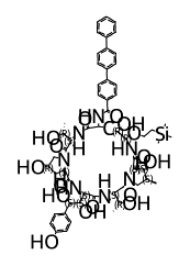 C[C@@H](O)[C@@H]1NC(=O)[C@H]([C@H](O)[C@@H](O)c2ccc(O)cc2)NC(=O)[C@@H]2C[C@@H](O)CN2C(=O)[C@H]([C@@H](C)O)NC(=O)C(NC(=O)c2ccc(-c3ccc(-c4ccccc4)cc3)cc2)C[C@@H](O)[C@@H](OCC[Si](C)(C)C)NC(=O)[C@@H]2[C@@H](O)[C@@H](C)CN2C1=O